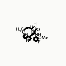 COc1c(F)cccc1Nc1c2cn3c1C(=O)NC[C@H]3C/C=C\[C@@H](C)Oc1ccc3nccc-2c3n1